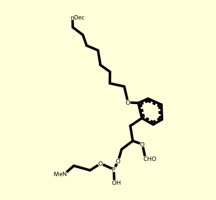 CCCCCCCCCCCCCCCCCCOc1ccccc1CC(COP(O)OCCNC)OC=O